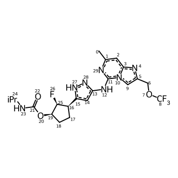 Cc1cc2nc(COC(F)(F)F)cn2c(Nc2cc([C@H]3CC[C@@H](OC(=O)NC(C)C)[C@H]3F)[nH]n2)n1